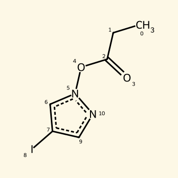 CCC(=O)On1cc(I)cn1